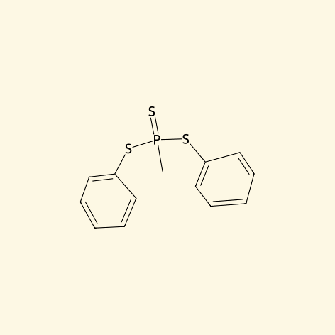 CP(=S)(Sc1ccccc1)Sc1ccccc1